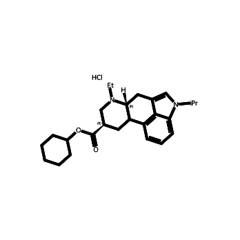 CCN1C[C@H](C(=O)OC2CCCCC2)CC2c3cccc4c3c(cn4C(C)C)C[C@H]21.Cl